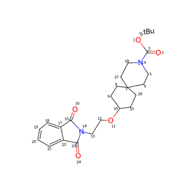 CC(C)(C)OC(=O)N1CCC2(CCC(OCCN3C(=O)c4ccccc4C3=O)CC2)CC1